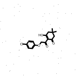 CC1(C)CC(=O)C(C(=O)COc2ccc(Cl)cc2)=C(O)C1